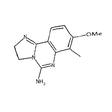 COc1ccc2c(c1C)N=C(N)N1CCN=C21